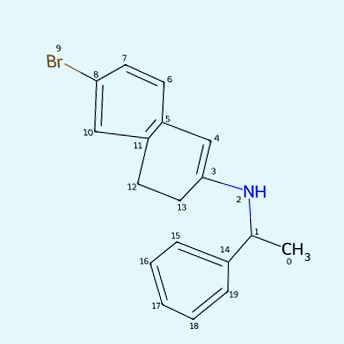 CC(NC1=Cc2ccc(Br)cc2CC1)c1ccccc1